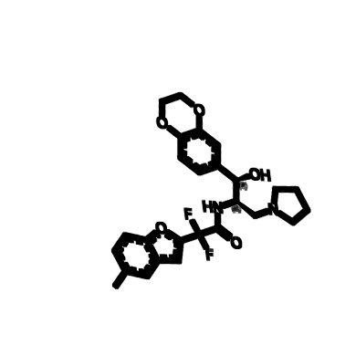 Cc1ccc2oc(C(F)(F)C(=O)N[C@H](CN3CCCC3)[C@H](O)c3ccc4c(c3)OCCO4)cc2c1